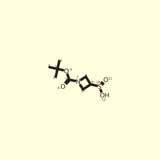 CC(C)(C)OC(=O)N1CC(S(=O)O)C1